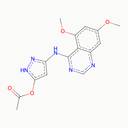 COc1cc(OC)c2c(Nc3cc(OC(C)=O)[nH]n3)ncnc2c1